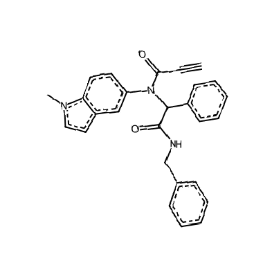 C#CC(=O)N(c1ccc2c(ccn2C)c1)C(C(=O)NCc1ccccc1)c1ccccc1